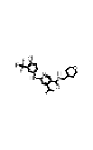 CC(C)c1cc(Nc2ccc(Cl)c(C(F)(F)F)c2)ncc1C(=O)NCC1CCOCC1